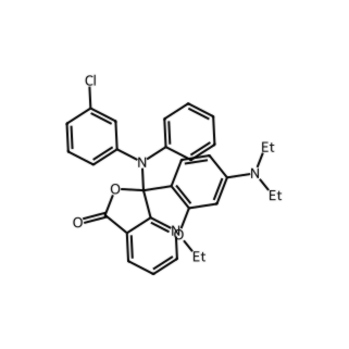 CCOc1cc(N(CC)CC)ccc1C1(N(c2ccccc2)c2cccc(Cl)c2)OC(=O)c2cccnc21